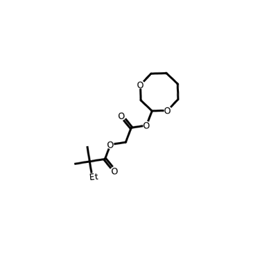 CCC(C)(C)C(=O)OCC(=O)OC1COCCCCO1